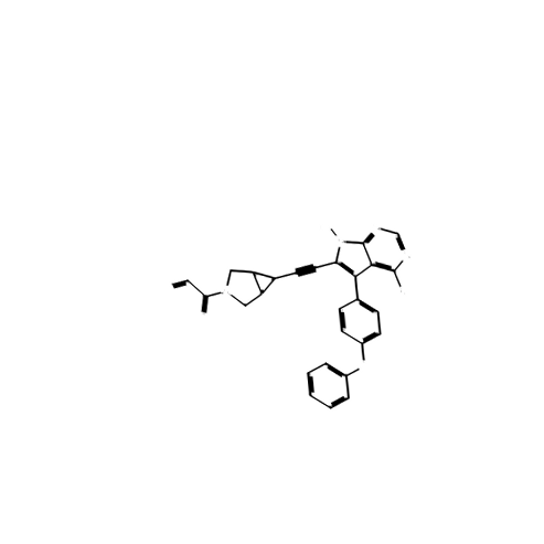 C=CC(=O)N1CC2C(C#Cc3c(-c4ccc(Oc5ccccc5)cc4)c4c(N)ncnc4n3C)C2C1